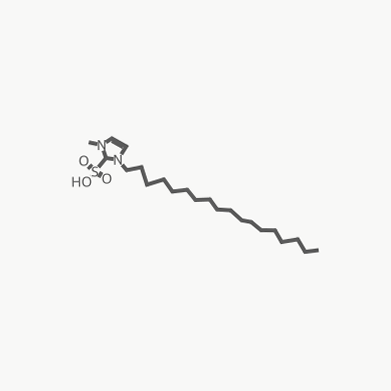 CCCCCCCCCCCCCCCCCCN1C=CN(C)C1S(=O)(=O)O